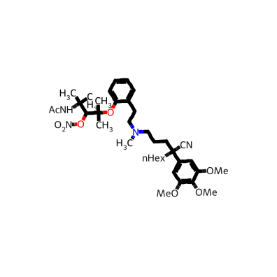 CCCCCCC(C#N)(CCCN(C)CCc1ccccc1OC(C)(C)C(O[N+](=O)[O-])C(C)(C)NC(C)=O)c1cc(OC)c(OC)c(OC)c1